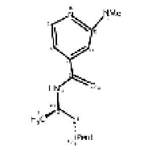 CCC[C@@H](C)C[C@@H](C)NC(=O)c1ccnc(NC)c1